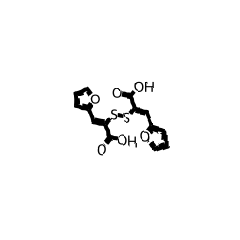 O=C(O)/C(=C/c1ccco1)SS/C(=C\c1ccco1)C(=O)O